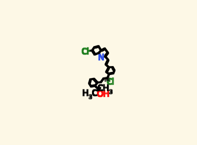 CC(C)(O)c1ccccc1CC[C@H](Cl)c1cccc(C=Cc2ccc3ccc(Cl)cc3n2)c1